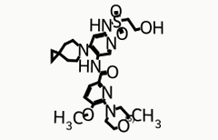 COc1ccc(C(=O)Nc2cnc(NS(=O)(=O)CCO)cc2N2CCC3(CC2)CC3)nc1N1CCO[C@@H](C)C1